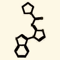 O=C(N=c1sccn1-c1csc2ccccc12)N1CCCC1